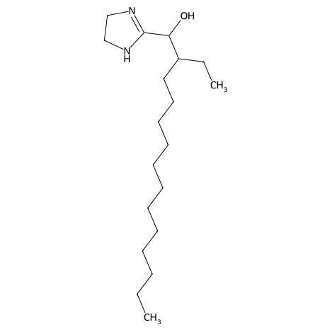 CCCCCCCCCCCCC(CC)C(O)C1=NCCN1